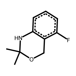 CC1(C)Nc2cccc(F)c2CO1